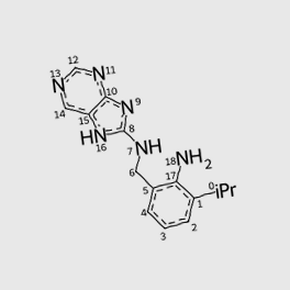 CC(C)c1cccc(CNc2nc3ncncc3[nH]2)c1N